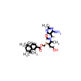 C/C(=C(\CCO)SCOC(=O)c1ccc2c(c1)C(C)(C)CCC2(C)C)N(C=O)Cc1cnc(C)nc1N